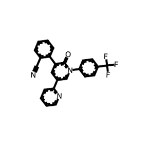 N#Cc1ccccc1-c1cc(-c2ccccn2)cn(-c2ccc(C(F)(F)F)cc2)c1=O